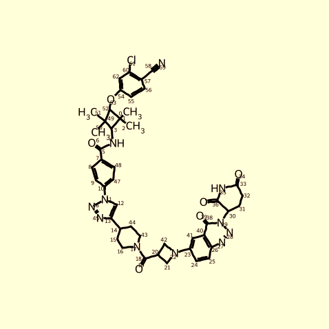 CC1(C)C(NC(=O)c2ccc(-n3cc(C4CCN(C(=O)C5CN(c6ccc7nnn(C8CCC(=O)NC8=O)c(=O)c7c6)C5)CC4)nn3)cc2)C(C)(C)C1Oc1ccc(C#N)c(Cl)c1